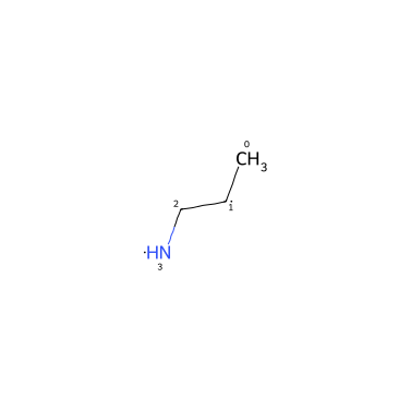 C[CH]C[NH]